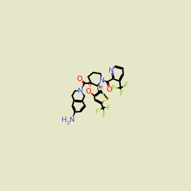 CCC[C@H]1N(C(=O)c2ncccc2C(F)(F)F)CCC[C@]1(Oc1csc(C(F)(F)F)c1)C(=O)N1CCc2cc(N)ccc2C1